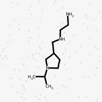 CC(C)N1CCC(CNCCN)C1